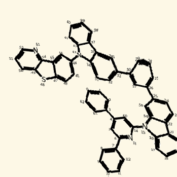 c1ccc(-c2cc(-c3ccccc3)nc(-n3c4ccccc4c4ccc(-c5cccc(-c6ccc7c(c6)c6ccccc6n7-c6ccc7sc8cccnc8c7c6)c5)cc43)c2)cc1